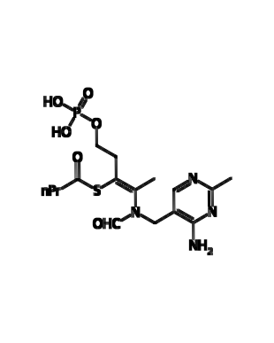 CCCC(=O)S/C(CCOP(=O)(O)O)=C(/C)N(C=O)Cc1cnc(C)nc1N